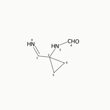 N=CC1(NC=O)CC1